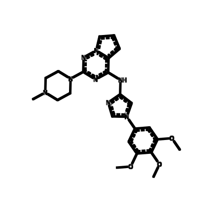 COc1cc(-n2cnc(Nc3nc(N4CCN(C)CC4)nn4cccc34)c2)cc(OC)c1OC